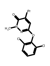 CC(C)c1cc(Oc2c(Cl)[c]ccc2Cl)nn(C)c1=O